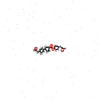 O=C(Oc1ccc(CC2CO2)cc1)c1ccc(-c2ccc(CC3CO3)cc2)cc1